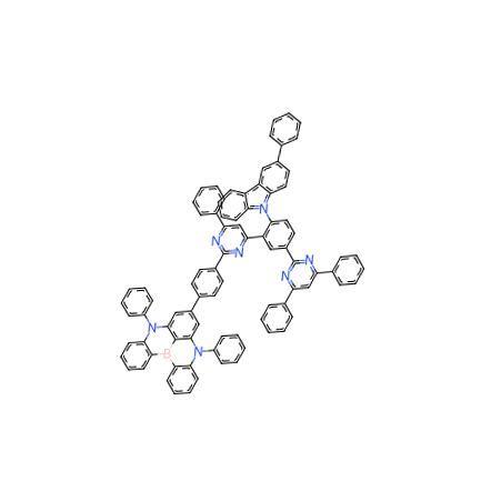 c1ccc(-c2ccc3c(c2)c2ccccc2n3-c2ccc(-c3nc(-c4ccccc4)cc(-c4ccccc4)n3)cc2-c2cc(-c3ccccc3)nc(-c3ccc(-c4cc5c6c(c4)N(c4ccccc4)c4ccccc4B6c4ccccc4N5c4ccccc4)cc3)n2)cc1